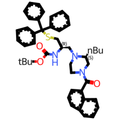 CCCC[C@H]1CN(C(=O)c2cccc3ccccc23)CCN1C[C@H](CSC(c1ccccc1)(c1ccccc1)c1ccccc1)NC(=O)OC(C)(C)C